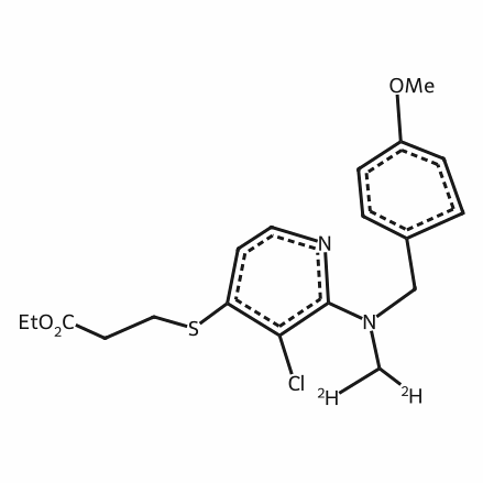 [2H]C([2H])N(Cc1ccc(OC)cc1)c1nccc(SCCC(=O)OCC)c1Cl